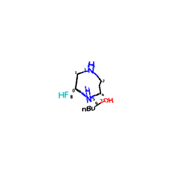 C1CNCCN1.CCCCO.F